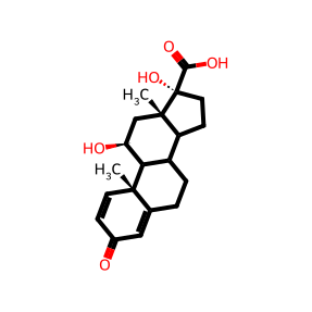 C[C@]12C=CC(=O)C=C1CCC1C2[C@@H](O)C[C@@]2(C)C1CC[C@]2(O)C(=O)O